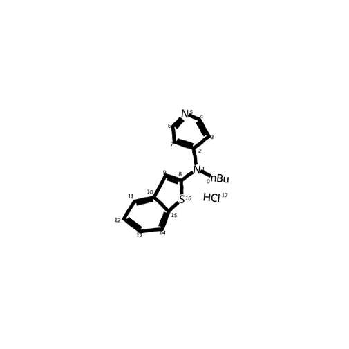 CCCCN(c1ccncc1)c1cc2ccccc2s1.Cl